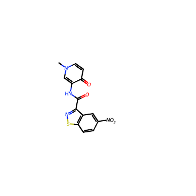 Cn1ccc(=O)c(NC(=O)c2nsc3ccc([N+](=O)[O-])cc23)c1